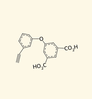 C#Cc1cccc(Oc2cc(C(=O)O)cc(C(=O)O)c2)c1